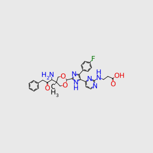 CC1(C(N)C(=O)Cc2ccccc2)COC(c2nc(-c3ccc(F)cc3)c(-c3ccnc(NCCC(=O)O)n3)[nH]2)OC1